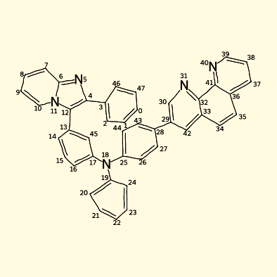 c1ccc(-c2nc3ccccn3c2-c2cccc(N(c3ccccc3)c3ccc(-c4cnc5c(ccc6cccnc65)c4)cc3)c2)cc1